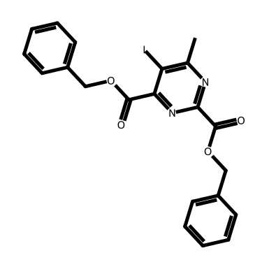 Cc1nc(C(=O)OCc2ccccc2)nc(C(=O)OCc2ccccc2)c1I